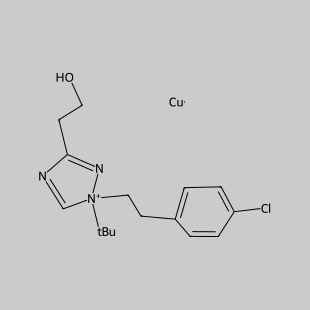 CC(C)(C)[N+]1(CCc2ccc(Cl)cc2)C=NC(CCO)=N1.[Cu]